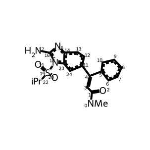 CNC(=O)C=C(c1ccccc1)c1ccc2nc(N)n(S(=O)(=O)C(C)C)c2c1